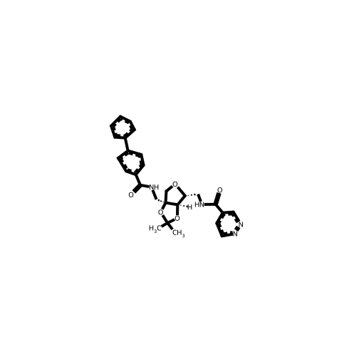 CC1(C)O[C@@H]2[C@@H](CNC(=O)c3ccnnc3)OC[C@]2(CNC(=O)c2ccc(-c3ccccc3)cc2)O1